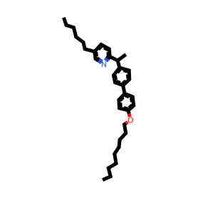 CCCCCCCCCOc1ccc(-c2ccc(C(C)c3ccc(CCCCCC)cn3)cc2)cc1